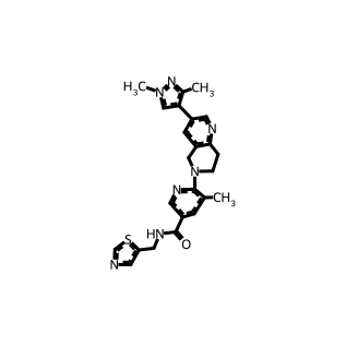 Cc1cc(C(=O)NCc2cncs2)cnc1N1CCc2ncc(-c3cn(C)nc3C)cc2C1